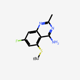 Cc1nc(N)c2c(SC(C)(C)C)cc(F)cc2n1